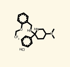 CN(C)C1CCC(NCc2ccccc2OCC(F)(F)F)(c2ccccc2)NC1.Cl